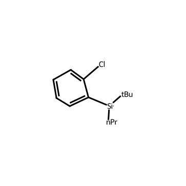 CCC[Si](c1ccccc1Cl)C(C)(C)C